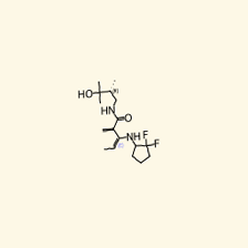 C=C(C(=O)NC[C@@H](C)C(C)(C)O)/C(=C\C)NC1CCCC1(F)F